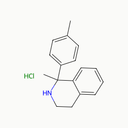 Cc1ccc(C2(C)NCCc3ccccc32)cc1.Cl